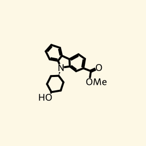 COC(=O)c1ccc2c3ccccc3n([C@H]3CC[C@H](O)CC3)c2c1